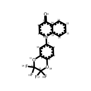 O=c1ccn(-c2ccc3c(c2)OC(F)(F)C(F)(F)O3)c2ccccc12